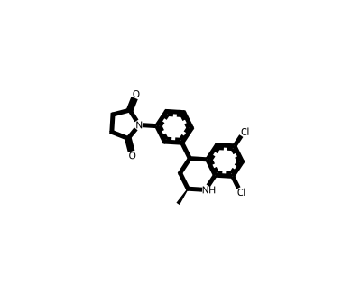 C[C@H]1CC(c2cccc(N3C(=O)CCC3=O)c2)c2cc(Cl)cc(Cl)c2N1